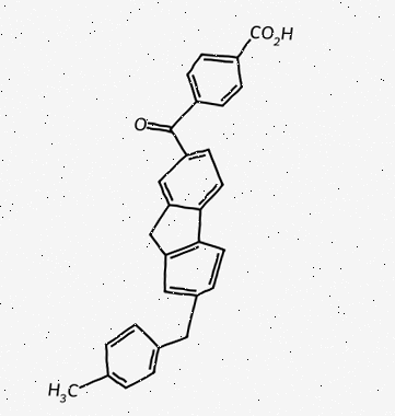 Cc1ccc(Cc2ccc3c(c2)Cc2cc(C(=O)c4ccc(C(=O)O)cc4)ccc2-3)cc1